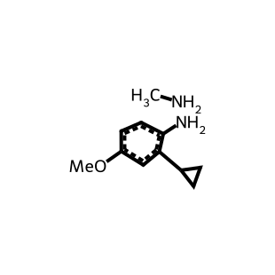 CN.COc1ccc(N)c(C2CC2)c1